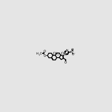 CC(=O)O[C@H]1CC[C@@]2(C)C(=CCC3C2CC[C@]2(C)C(n4cnc([N+](=O)[O-])c4)=C(C=O)CC32)C1